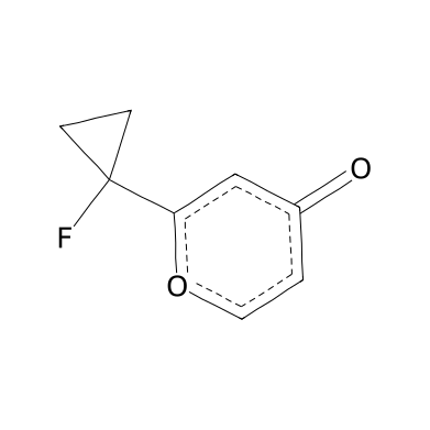 O=c1ccoc(C2(F)CC2)c1